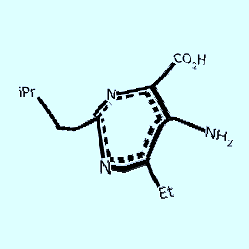 CCc1nc(CC(C)C)nc(C(=O)O)c1N